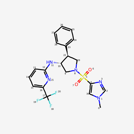 Cn1cnc(S(=O)(=O)N2C[C@H](Nc3cccc(C(F)(F)F)n3)[C@@H](c3ccccc3)C2)c1